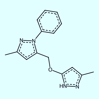 Cc1cc(OCc2cc(C)nn2-c2ccccc2)[nH]n1